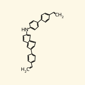 C=Cc1ccc(-c2ccc(Nc3ccc4cc(-c5ccc(C=C)cc5)ccc4c3)cc2)cc1